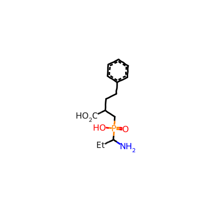 CCC(N)P(=O)(O)CC(CCc1ccccc1)C(=O)O